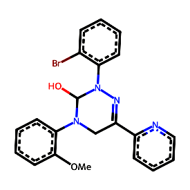 COc1ccccc1N1CC(c2ccccn2)=NN(c2ccccc2Br)C1O